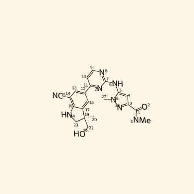 CNC(=O)c1cc(Nc2nccc(-c3cc(C#N)c4c(c3)[C@@](C)(CO)CN4)n2)n(C)n1